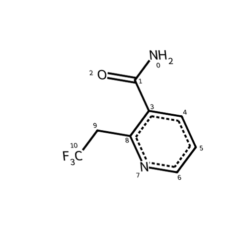 NC(=O)c1cccnc1CC(F)(F)F